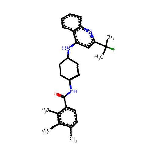 Bc1c(C(=O)NC2CCC(Nc3cc(C(C)(C)F)nc4ccccc34)CC2)ccc(C)c1C